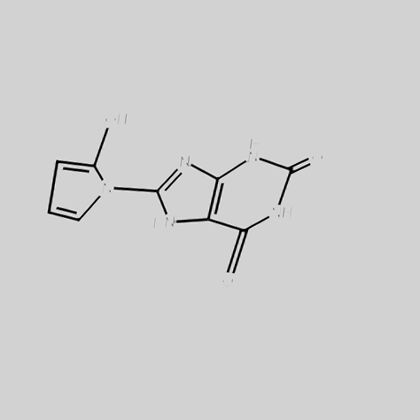 O=c1[nH]c(=O)c2[nH]c(-n3cccc3O)nc2[nH]1